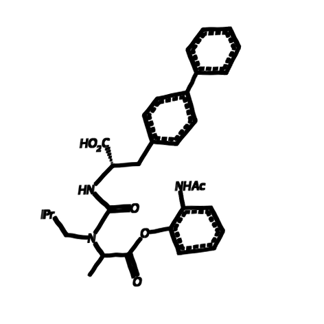 CC(=O)Nc1ccccc1OC(=O)C(C)N(CC(C)C)C(=O)N[C@@H](Cc1ccc(-c2ccccc2)cc1)C(=O)O